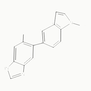 Cn1ccc2cc(-c3cc4nc[nH]c4cc3F)ccc21